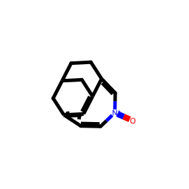 O=[N+]1/C=C\C23C=CC=CC2=C2CC(CC/C2=C/1)C3